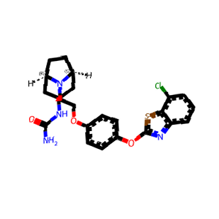 NC(=O)NC1C[C@H]2CC[C@@H](C1)N2CCOc1ccc(Oc2nc3cccc(Cl)c3s2)cc1